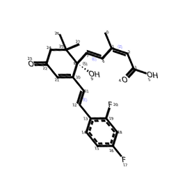 CC(=C/C(=O)O)/C=C/[C@@]1(O)C(/C=C/c2ccc(F)cc2F)=CC(=O)CC1(C)C